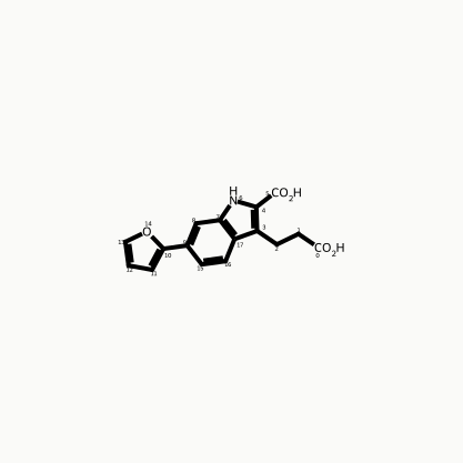 O=C(O)CCc1c(C(=O)O)[nH]c2cc(-c3ccco3)ccc12